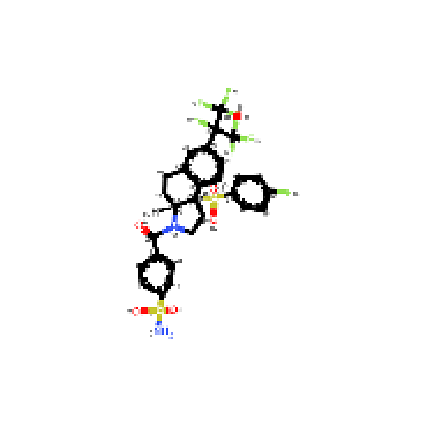 NS(=O)(=O)c1ccc(C(=O)N2CC[C@@]3(S(=O)(=O)c4ccc(F)cc4)c4ccc(C(F)(C(F)(F)F)C(F)(F)F)cc4CC[C@@H]23)cc1